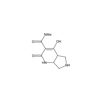 CNC(=O)C1=C(O)C2CNCC2NC1=O